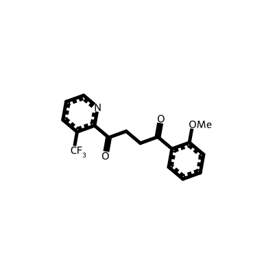 COc1ccccc1C(=O)CCC(=O)c1ncccc1C(F)(F)F